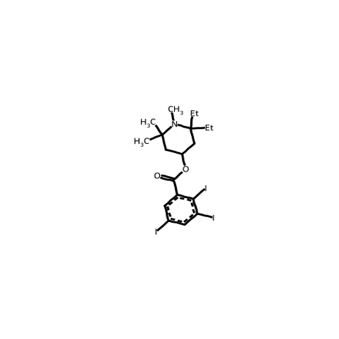 CCC1(CC)CC(OC(=O)c2cc(I)cc(I)c2I)CC(C)(C)N1C